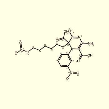 CC1=NC(N)=C(C(=O)O)C(c2cccc([N+](=O)[O-])c2)C1(CCCCCCO[N+](=O)[O-])C(=O)O